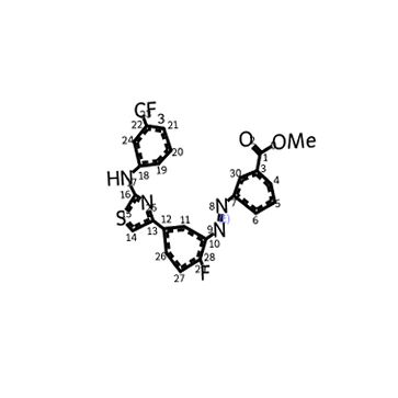 COC(=O)c1cccc(/N=N/c2cc(-c3csc(Nc4cccc(C(F)(F)F)c4)n3)ccc2F)c1